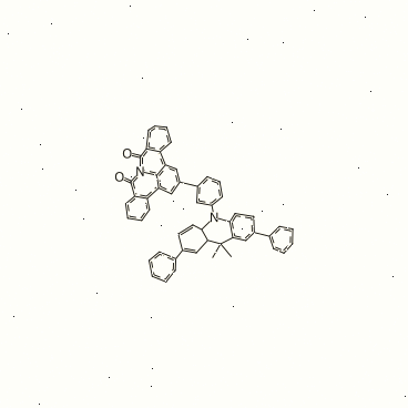 CC1(C)c2cc(-c3ccccc3)ccc2N(c2cccc(-c3cc4c5ccccc5c(=O)n5c(=O)c6ccccc6c(c3)c45)c2)C2C=CC(c3ccccc3)=CC21